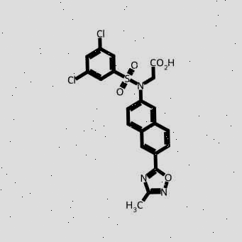 Cc1noc(-c2ccc3cc(N(CC(=O)O)S(=O)(=O)c4cc(Cl)cc(Cl)c4)ccc3c2)n1